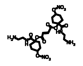 NCCNC(=O)C1(OC(=O)/C=C/C(=O)OC2(C(=O)NCCN)CCC(O[N+](=O)[O-])CC2)CCC(O[N+](=O)[O-])CC1